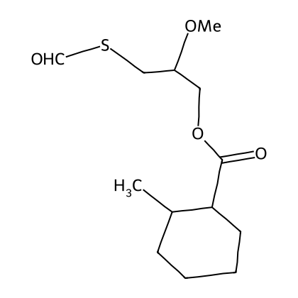 COC(COC(=O)C1CCCCC1C)CSC=O